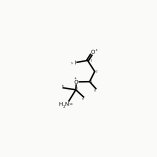 CC(CC(=O)I)OC(C)(C)N